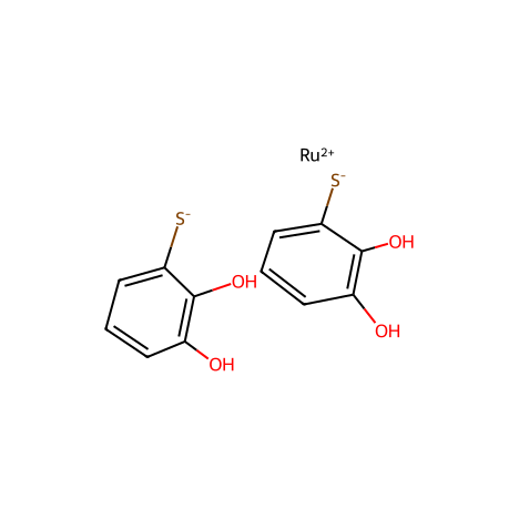 Oc1cccc([S-])c1O.Oc1cccc([S-])c1O.[Ru+2]